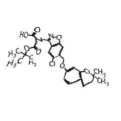 CC(C)(C)OC(=O)N(C(=O)O)c1noc2cc(COc3ccc4c(c3)OC(C)(C)CC4)c(Cl)cc12